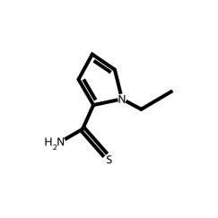 CCn1cccc1C(N)=S